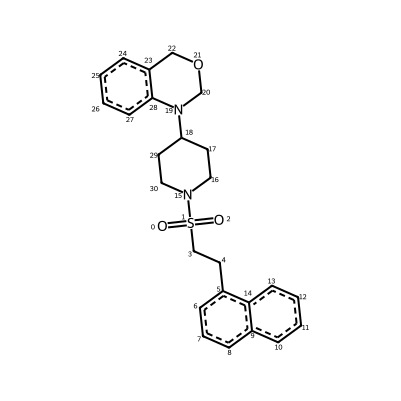 O=S(=O)(CCc1cccc2ccccc12)N1CCC(N2COCc3ccccc32)CC1